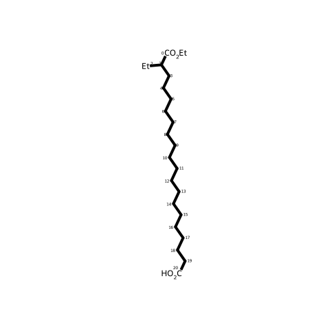 CCOC(=O)C(CC)CCCCCCCCCCCCCCCCCC(=O)O